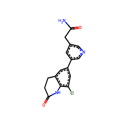 NC(=O)Cc1cncc(-c2cc(Cl)c3c(c2)CCC(=O)N3)c1